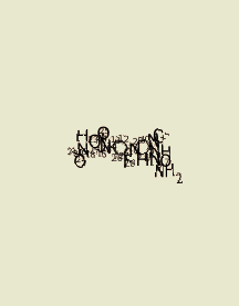 [C-]#[N+]C1(NNC(N)=O)CCN(c2ccc(N3C[C@H](CNC(C)=O)OC3=O)cc2F)CC1